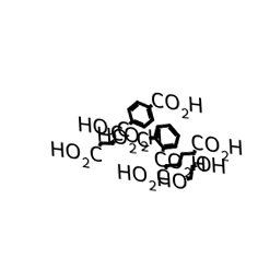 O=C(O)CCC(=O)O.O=C(O)CCCCC(=O)O.O=C(O)c1ccc(C(=O)O)cc1.O=C(O)c1ccccc1C(=O)O.OCCO